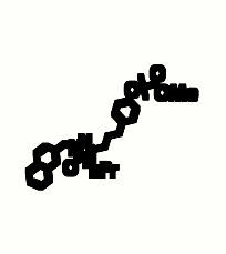 CCCn1c(CCCc2ccc(OC(C)(C)C(=O)OC)cc2)nn(Cc2ccc3ccccc3c2)c1=O